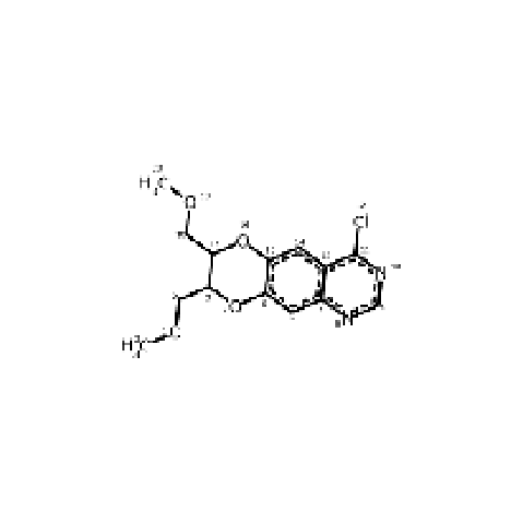 COCC1Oc2cc3ncnc(Cl)c3cc2OC1COC